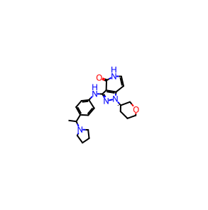 CC(c1ccc(Nc2nn([C]3CCCOC3)c3cc[nH]c(=O)c23)cc1)N1CCCC1